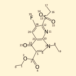 CCOC(=O)c1cn(CC)c2nc(S(=O)(=O)CC)c(F)cc2c1=O